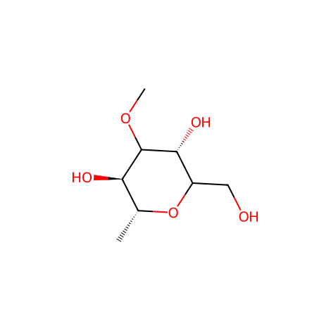 COC1[C@H](O)C(CO)O[C@H](C)[C@H]1O